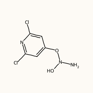 NN(O)Oc1cc(Cl)nc(Cl)c1